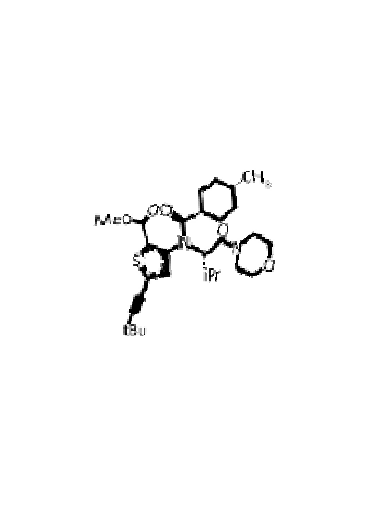 COC(=O)c1sc(C#CC(C)(C)C)cc1N(C(=O)[C@H]1CC[C@H](C)CC1)[C@H](C(=O)N1CCOCC1)C(C)C